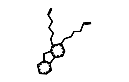 C=CCCCCc1ccc2c(c1CCCCC=C)Cc1ccccc1-2